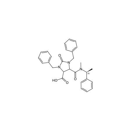 C[C@@H](c1ccccc1)N(C)C(=O)C1C(C(=O)O)N(Cc2ccccc2)C(=O)N1Cc1ccccc1